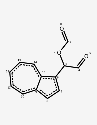 O=COC(C=O)c1ccc2cccccc1-2